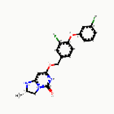 C[C@H]1Cn2c(cc(OCc3ccc(Oc4cccc(F)c4)c(F)c3)nc2=O)N1